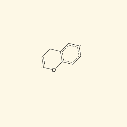 [C]1=CCc2c[c]ccc2O1